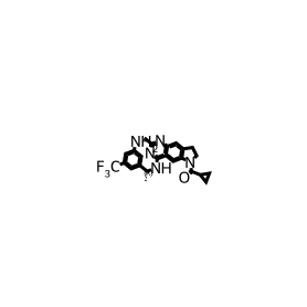 Cc1nc(N[C@H](C)c2cc(N)cc(C(F)(F)F)c2)c2cc3c(cc2n1)CCN3C(=O)C1CC1